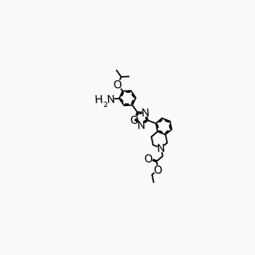 CCOC(=O)CN1CCc2c(cccc2-c2noc(-c3ccc(OC(C)C)c(N)c3)n2)C1